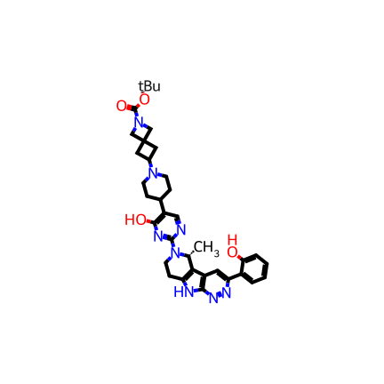 C[C@@H]1c2c([nH]c3nnc(-c4ccccc4O)cc23)CCN1c1ncc(C2CCN(C3CC4(C3)CN(C(=O)OC(C)(C)C)C4)CC2)c(O)n1